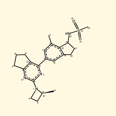 Cc1cc(-c2nc(N3CC[C@@H]3C)nc3c2CCC3)cc2c1C(NS(C)(=O)=O)CC2